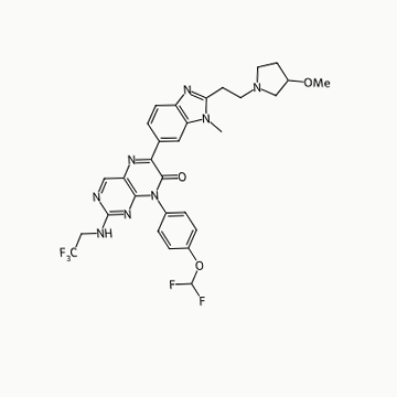 COC1CCN(CCc2nc3ccc(-c4nc5cnc(NCC(F)(F)F)nc5n(-c5ccc(OC(F)F)cc5)c4=O)cc3n2C)C1